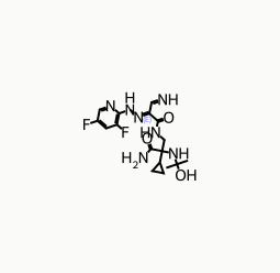 CC(C)(O)NC(CNC(=O)/C(C=N)=N/Nc1ncc(F)cc1F)(C(N)=O)C1CC1